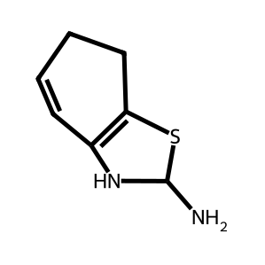 NC1NC2=C(CCC=C2)S1